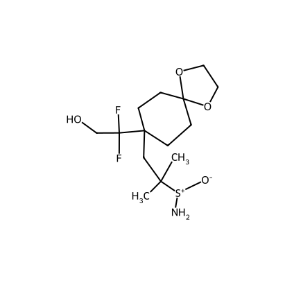 CC(C)(CC1(C(F)(F)CO)CCC2(CC1)OCCO2)[S+](N)[O-]